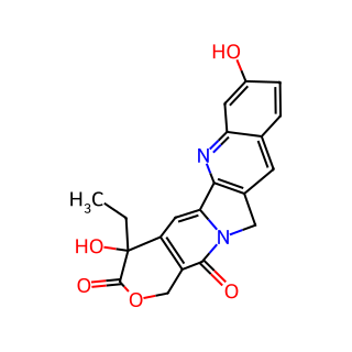 CCC1(O)C(=O)OCc2c1cc1n(c2=O)Cc2cc3ccc(O)cc3nc2-1